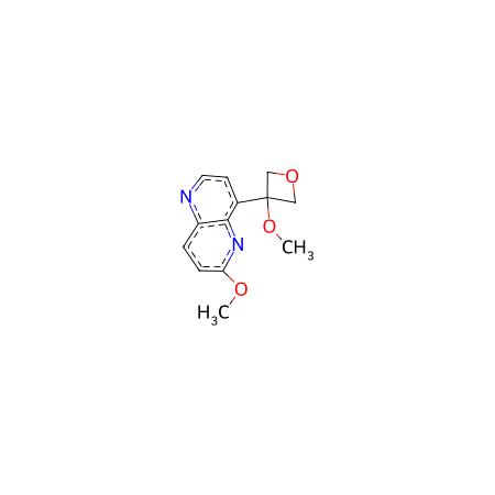 COc1ccc2nccc(C3(OC)COC3)c2n1